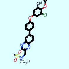 CS(=O)(=O)N(Cc1cnc2cc(-c3ccc(Oc4cc(Cl)c(OC5CC5)c(C#N)c4)cc3)ccc2n1)C(=O)O